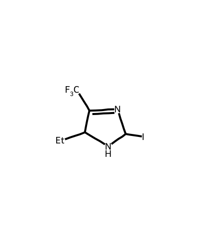 CCC1NC(I)N=C1C(F)(F)F